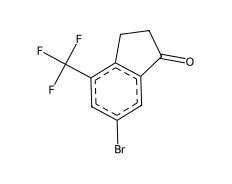 O=C1CCc2c1cc(Br)cc2C(F)(F)F